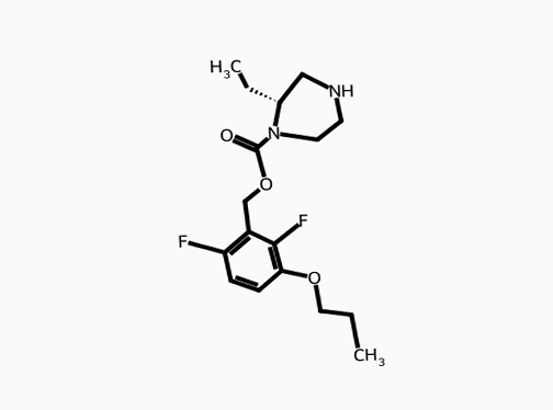 CCCOc1ccc(F)c(COC(=O)N2CCNC[C@H]2CC)c1F